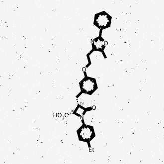 CCc1ccc(N2C(=O)[C@@H](Cc3cccc(OCCc4nc(-c5ccccc5)oc4C)c3)[C@H]2C(=O)O)cc1